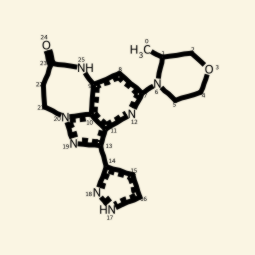 CC1COCCN1c1cc2c3c(n1)c(-c1cc[nH]n1)nn3CCC(=O)N2